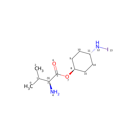 CC(C)[C@H](N)C(=O)O[C@H]1CC[C@H](NI)CC1